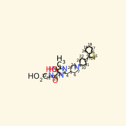 Cc1nc(CC2CCN(c3ccc(-c4csc5ccccc45)cc3)CC2)nc(C(=O)NCC(=O)O)c1O